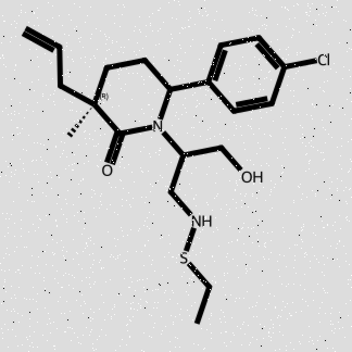 C=CC[C@@]1(C)CCC(c2ccc(Cl)cc2)N(C(CO)CNSCC)C1=O